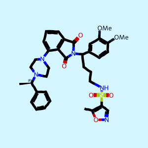 COc1ccc(C(CCCNS(=O)(=O)c2cnoc2C)N2C(=O)c3cccc(N4CCN([C@H](C)c5ccccc5)CC4)c3C2=O)cc1OC